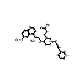 COc1ccc2nccc([C@@H](O)CCC3CCN(CC#Cc4cccnc4)CC3CCC(=O)O)c2c1